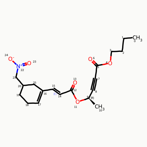 CCCCOC(=O)C#C[C@@H](C)OC(=O)/C=C/C1=CCCC(C[N+](=O)[O-])C1